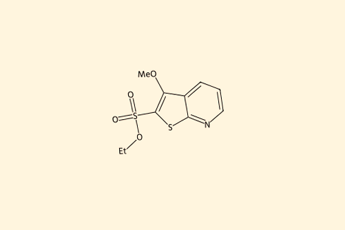 CCOS(=O)(=O)c1sc2ncccc2c1OC